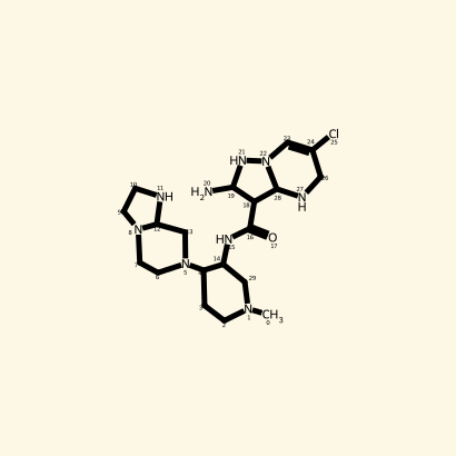 CN1CCC(N2CCN3CCNC3C2)C(NC(=O)C2C(N)NN3C=C(Cl)CNC23)C1